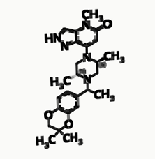 CC(c1ccc2c(c1)OC(C)(C)CO2)N1C[C@H](C)N(c2cc(=O)n(C)c3c[nH]nc23)C[C@H]1C